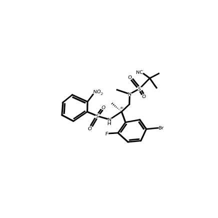 CN(C[C@](C)(NS(=O)(=O)c1ccccc1[N+](=O)[O-])c1cc(Br)ccc1F)S(=O)(=O)C(C)(C)C#N